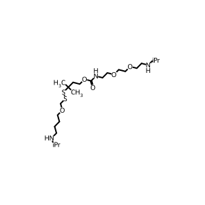 CC(C)NCCCCOCSSC(C)(C)CCOC(=O)NCCOCCOCCNC(C)C